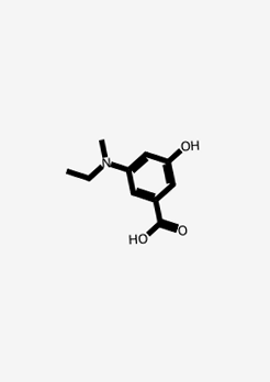 CCN(C)c1cc(O)cc(C(=O)O)c1